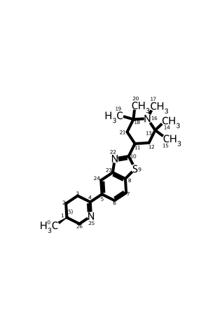 C[C@H]1CCC(c2ccc3sc(C4CC(C)(C)N(C)C(C)(C)C4)nc3c2)=NC1